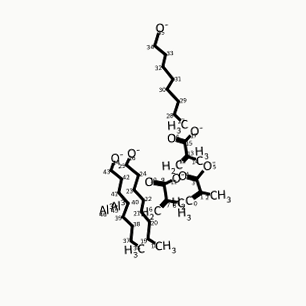 C=C(C)C(=O)[O-].C=C(C)C(=O)[O-].C=C(C)C(=O)[O-].CCCCCCCC[O-].CCCCCCCC[O-].CCCCCCCC[O-].[Al+3].[Al+3]